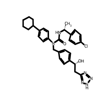 C[C@@H](NC(=O)N(Cc1ccc([C@H](O)Cc2nn[nH]n2)cc1)c1ccc(C2CCCCC2)cc1)c1ccc(Cl)cc1